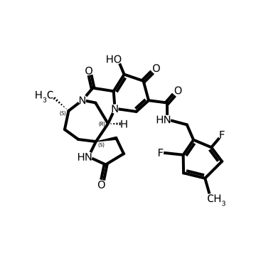 Cc1cc(F)c(CNC(=O)c2cn3c(c(O)c2=O)C(=O)N2C[C@@H]3[C@@]3(CCC(=O)N3)CC[C@@H]2C)c(F)c1